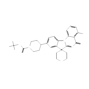 CC(C)(C)OC(=O)N1CCC(c2ccc3c(c2)C2(CCOCC2)c2nc(=O)c4c(Cl)cccc4n2-3)CC1